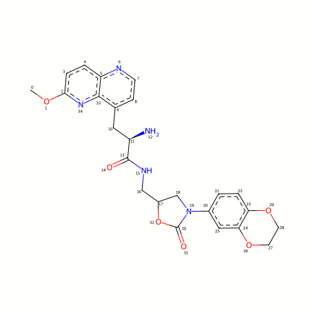 COc1ccc2nccc(C[C@@H](N)C(=O)NCC3CN(c4ccc5c(c4)OCCO5)C(=O)O3)c2n1